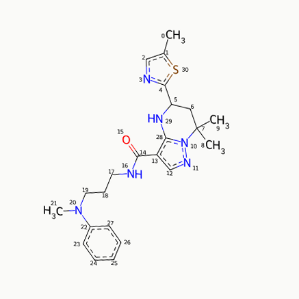 Cc1cnc(C2CC(C)(C)n3ncc(C(=O)NCCCN(C)c4ccccc4)c3N2)s1